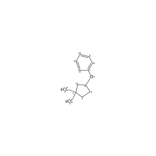 CC1(C)CCC(Oc2c[c]ccc2)C1